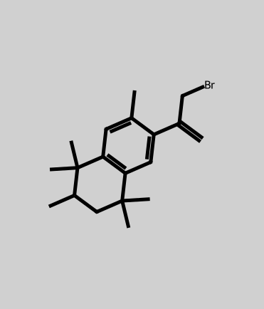 C=C(CBr)c1cc2c(cc1C)C(C)(C)C(C)CC2(C)C